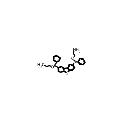 CCCOB(c1ccccc1)c1ccc2sc3ccc(B(OCCN)c4ccccc4)cc3c2c1